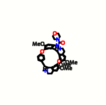 COc1cc2c3cc1Oc1ccc(cc1)C[C@H]1c4cc(c(OC)cc4CCN1C)Oc1c(OC)c(OC)cc4c1[C@H](C3)N(CC4)N2C(=O)N1CCOCC1